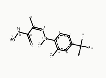 CC(=NN(Cl)c1ccc(C(F)(F)F)cc1Cl)C(=O)NO